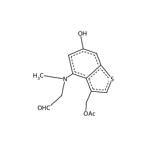 CC(=O)OCc1csc2cc(O)cc(N(C)CC=O)c12